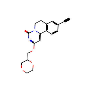 C#Cc1ccc2c(c1)CCn1c-2cc(OC[C@@H]2COCCO2)nc1=O